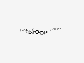 CCCCCCCCCCCCCCCCOC(C)c1ccc(-c2ccc(C(=O)Oc3ccc(OC(C)CCC)cc3)cc2)cc1